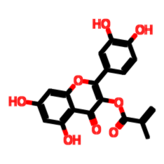 C=C(C)C(=O)Oc1c(-c2ccc(O)c(O)c2)oc2cc(O)cc(O)c2c1=O